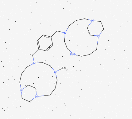 CN1CCCN2CCN(CCCN(Cc3ccc(CN4CCCN5CCN(CCCNCC4)CC5)cc3)CC1)CC2